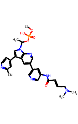 CCOP(=O)(O)OC(C)n1cc(-c2ccnc(C#N)c2)c2cc(-c3cncc(NC(=O)C=CCN(C)C)c3)cnc21